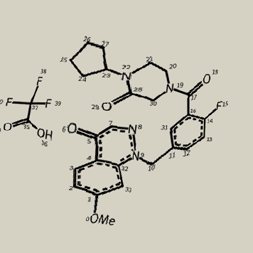 COc1ccc2c(=O)cnn(Cc3ccc(F)c(C(=O)N4CCN(C5CCCC5)C(=O)C4)c3)c2c1.O=C(O)C(F)(F)F